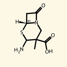 CC1(C(=O)O)CN2C(=O)C[C@H]2SC1N